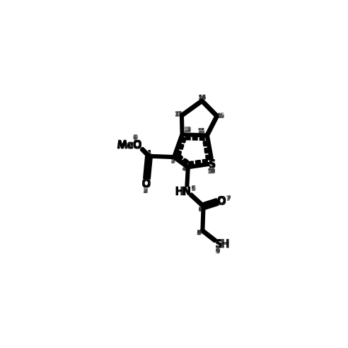 COC(=O)c1c(NC(=O)CS)sc2c1CCC2